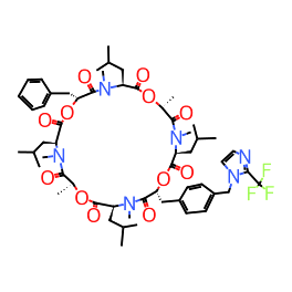 CC(C)C[C@H]1C(=O)O[C@H](Cc2ccc(Cn3ccnc3C(F)(F)F)cc2)C(=O)N(C)[C@@H](CC(C)C)C(=O)O[C@H](C)C(=O)N(C)[C@@H](CC(C)C)C(=O)O[C@H](Cc2ccccc2)C(=O)N(C)[C@@H](CC(C)C)C(=O)O[C@H](C)C(=O)N1C